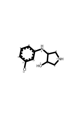 OC1CNCC1Nc1cccc(Cl)c1